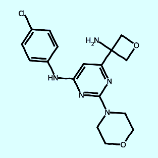 NC1(c2cc(Nc3ccc(Cl)cc3)nc(N3CCOCC3)n2)COC1